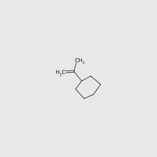 C=C(C)C1CCCCC1